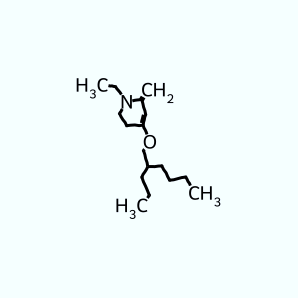 C=C1C=C(OCC(CCC)CCCC)CCN1CC